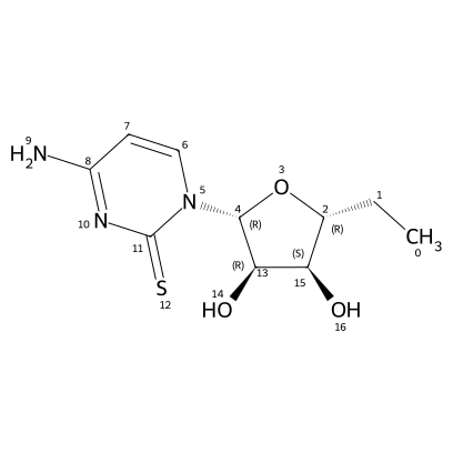 CC[C@H]1O[C@@H](n2ccc(N)nc2=S)[C@H](O)[C@@H]1O